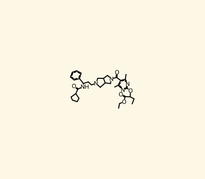 CCOC(=O)C(CC)Oc1nc(C)c(C(=O)N2CC3CN(CCC(NC(=O)C4CCCC4)c4ccccc4)CC3C2)c(C)n1